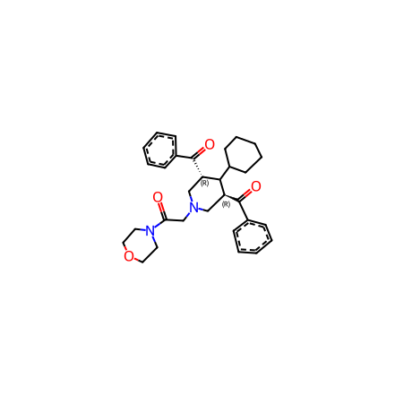 O=C(c1ccccc1)[C@H]1CN(CC(=O)N2CCOCC2)C[C@H](C(=O)c2ccccc2)C1C1CCCCC1